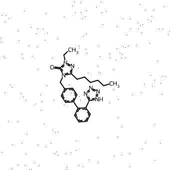 CCCCCCc1nn(CC)c(=O)n1Cc1ccc(-c2ccccc2-c2nnn[nH]2)cc1